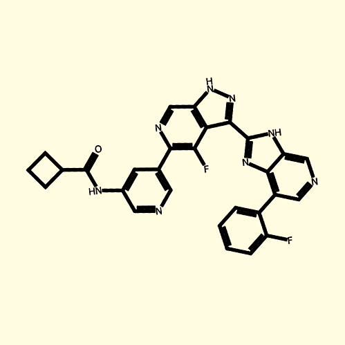 O=C(Nc1cncc(-c2ncc3[nH]nc(-c4nc5c(-c6ccccc6F)cncc5[nH]4)c3c2F)c1)C1CCC1